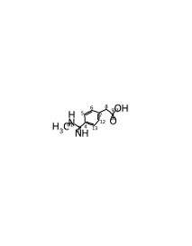 CNC(=N)c1ccc(CC(=O)O)cc1